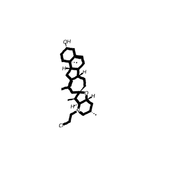 CC1=C2C[C@H]3C(CC=C4C[C@@H](O)CC[C@@]43C)[C@@H]2CC[C@@]2(C1)O[C@@H]1C[C@H](C)CN(CCCl)[C@H]1[C@H]2C